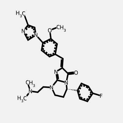 COc1cc(/C=C2\N=C3N(CCN(C)C)CC[C@@H](c4ccc(F)cc4)N3C2=O)ccc1-n1cnc(C)c1